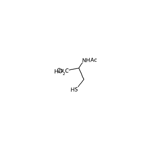 CC(=O)NC(CS)C(=O)O.[Cu]